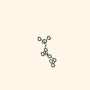 C(=C\c1cc(-c2ccccc2)cc(-c2ccccc2)n1)/c1ccc2c(c1)c1ccccc1n2-c1ccc(-c2cccc3c2oc2ccccc23)cc1